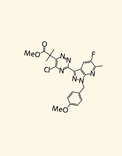 COC(=O)C(C)(C)c1nnc(-c2nn(Cc3ccc(OC)cc3)c3nc(C)c(F)cc23)nc1Cl